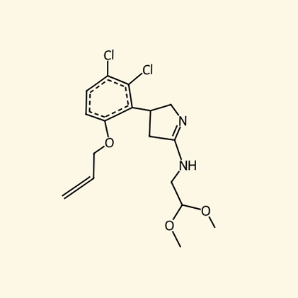 C=CCOc1ccc(Cl)c(Cl)c1C1CN=C(NCC(OC)OC)C1